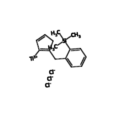 C[Si](C)(C)c1ccccc1CC1=[C]([Ti+3])C=CC1.[Cl-].[Cl-].[Cl-]